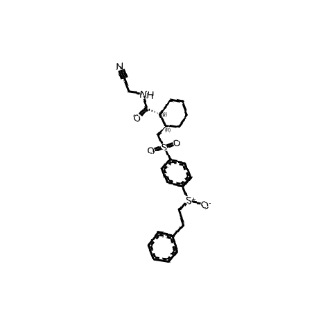 N#CCNC(=O)[C@@H]1CCCC[C@H]1CS(=O)(=O)c1ccc([S+]([O-])CCc2ccccc2)cc1